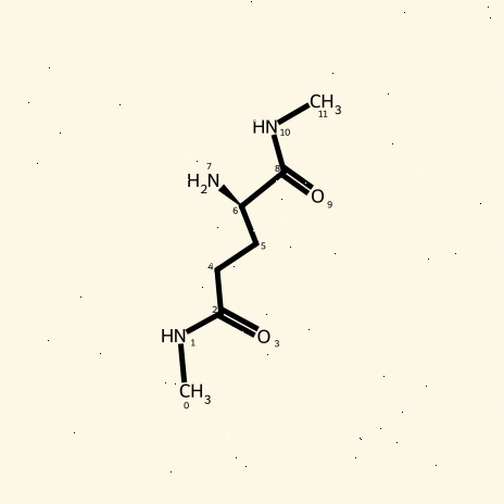 CNC(=O)CC[C@@H](N)C(=O)NC